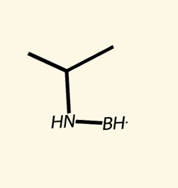 [BH]NC(C)C